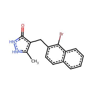 Cc1[nH][nH]c(=O)c1Cc1ccc2ccccc2c1Br